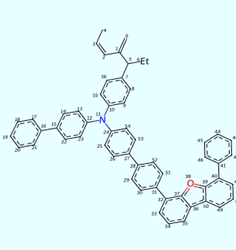 C=C(/C=C\C)C(CC)c1ccc(N(c2ccc(-c3ccccc3)cc2)c2ccc(-c3ccc(-c4cccc5c4oc4c(-c6ccccc6)cccc45)cc3)cc2)cc1